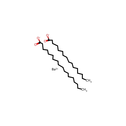 CCCCCCCCCCCCCCCC(=O)[O-].CCCCCCCCCCCCCCCCCC(=O)[O-].[Ba+2]